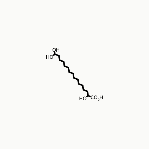 O=C(O)C(O)CCCCCCCCCCCCCC(O)O